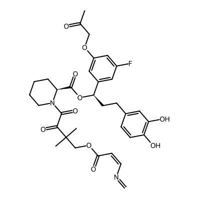 C=N/C=C\C(=O)OCC(C)(C)C(=O)C(=O)N1CCCC[C@H]1C(=O)O[C@H](CCc1ccc(O)c(O)c1)c1cc(F)cc(OCC(C)=O)c1